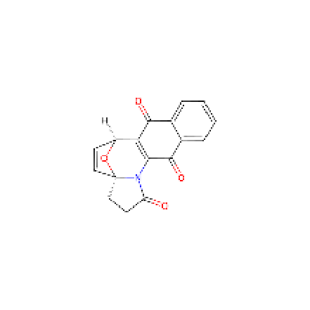 O=C1C2=C(C(=O)c3ccccc31)N1C(=O)CC[C@@]13C=C[C@@H]2O3